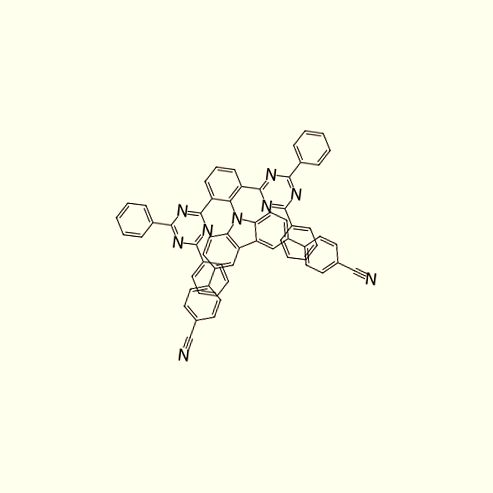 N#Cc1ccc(-c2ccc3c(c2)c2cc(-c4ccc(C#N)cc4)ccc2n3-c2c(-c3nc(-c4ccccc4)nc(-c4ccccc4)n3)cccc2-c2nc(-c3ccccc3)nc(-c3ccccc3)n2)cc1